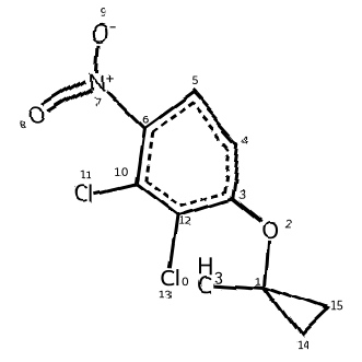 CC1(Oc2ccc([N+](=O)[O-])c(Cl)c2Cl)CC1